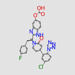 O=C(O)Oc1ccc2[nH]c([C@H](Cc3ccc(F)cc3)n3ccc(-c4cc(Cl)ccc4-n4cnnn4)cc3=O)nc2c1